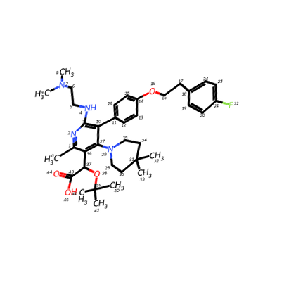 Cc1nc(NCCN(C)C)c(-c2ccc(OCCc3ccc(F)cc3)cc2)c(N2CCC(C)(C)CC2)c1C(OC(C)(C)C)C(=O)O